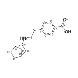 O=[N+](O)c1ccc(CCNC2CC3CCC2C3)cc1